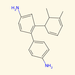 CC1=CC=CC(c2cc(N)ccc2-c2ccc(N)cc2)C1C